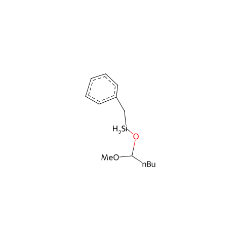 CCCCC(OC)O[SiH2]Cc1ccccc1